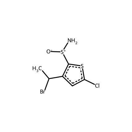 CC(Br)c1cc(Cl)sc1[S+](N)[O-]